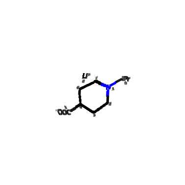 CC(C)N1CCC(C(=O)[O-])CC1.[Li+]